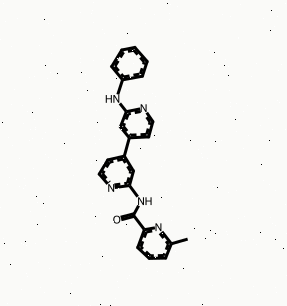 Cc1cccc(C(=O)Nc2cc(-c3ccnc(Nc4ccccc4)c3)ccn2)n1